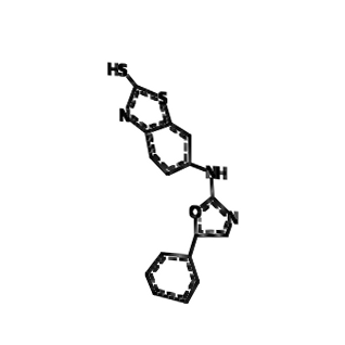 Sc1nc2ccc(Nc3ncc(-c4ccccc4)o3)cc2s1